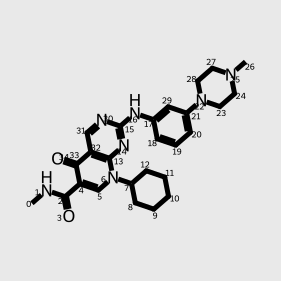 CNC(=O)c1cn(C2CCCCC2)c2nc(Nc3cccc(N4CCN(C)CC4)c3)ncc2c1=O